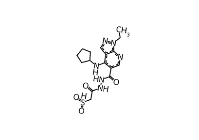 CCn1ncc2c(NC3CCCC3)c(C(=O)NNC(=O)C[SH](=O)=O)cnc21